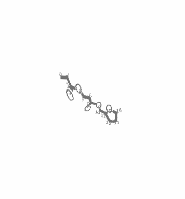 C=CC(=O)OCCC(=O)OCC1CCCO1